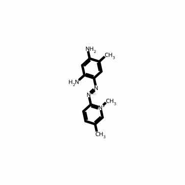 Cc1ccc(/N=N/c2cc(C)c(N)cc2N)[n+](C)c1